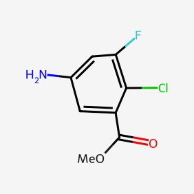 COC(=O)c1cc(N)cc(F)c1Cl